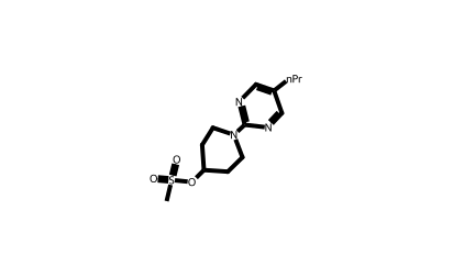 CCCc1cnc(N2CCC(OS(C)(=O)=O)CC2)nc1